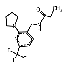 CCC(=O)NCc1ccc(C(F)(F)F)nc1N1CCCC1